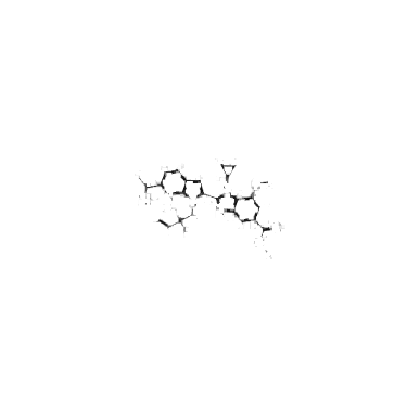 C=CC(F)(F)Cn1c(-c2nc3cc(C(=O)OC)cc(OC)c3n2C2CC2)cc2ccc(C(C)N)nc21